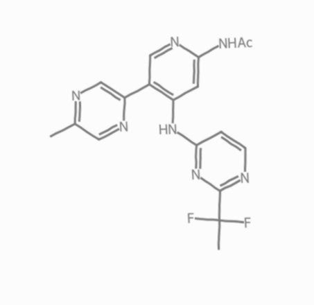 CC(=O)Nc1cc(Nc2ccnc(C(C)(F)F)n2)c(-c2cnc(C)cn2)cn1